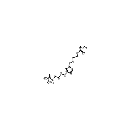 CNC(=O)CCCCCn1cc(CCCCOP(=O)(O)OC)nn1